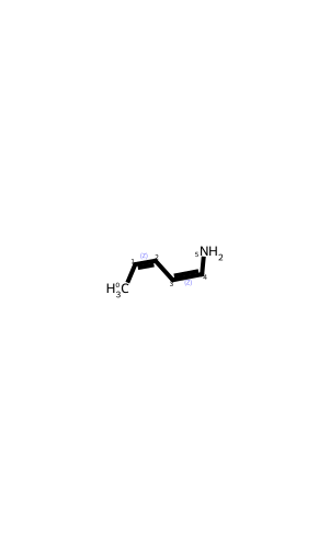 C/C=C\C=C/N